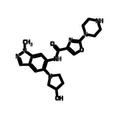 Cn1ncc2cc(N3CCC(O)C3)c(NC(=O)c3coc(N4CCNCC4)n3)cc21